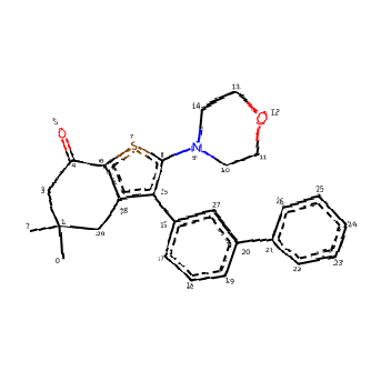 CC1(C)CC(=O)c2sc(N3CCOCC3)c(-c3cccc(-c4ccccc4)c3)c2C1